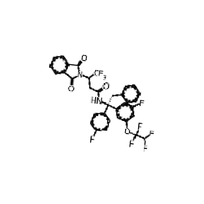 O=C(CC(N1C(=O)c2ccccc2C1=O)C(F)(F)F)N[C@](Cc1ccccc1)(c1ccc(F)cc1)c1cc(F)cc(OC(F)(F)C(F)F)c1